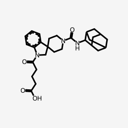 O=C(O)CCCC(=O)N1CC2(CCN(C(=O)NC3C4CC5CC(C4)CC3C5)CC2)c2ccccc21